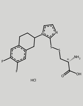 Cl.N[C@@H](CSSc1nccn1C1CCc2cc(F)c(F)cc2C1)C(=O)O